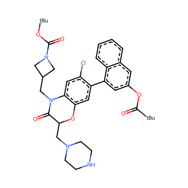 CC(C)(C)OC(=O)N1CC(CN2C(=O)C(CN3CCNCC3)Oc3cc(-c4cc(OC(=O)C(C)(C)C)cc5ccccc45)c(Cl)cc32)C1